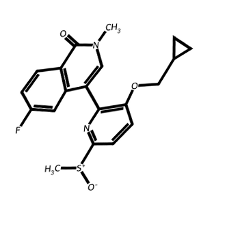 Cn1cc(-c2nc([S+](C)[O-])ccc2OCC2CC2)c2cc(F)ccc2c1=O